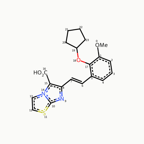 COc1cccc(C=Cc2nc3sccn3c2C(=O)O)c1OC1CCCC1